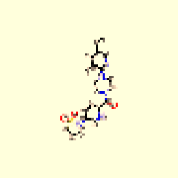 CCc1cnc(N2CCN(C(=O)c3ccc(N4CCCS4(=O)=O)cn3)CC2)c(C)c1